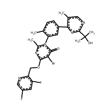 Cc1ccc(-c2nc(C(C)(C)O)ncc2C)cc1-n1c(C)nc(OCc2ncc(F)cc2F)c(Br)c1=O